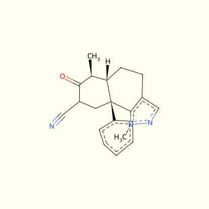 C[C@@H]1C(=O)C(C#N)C[C@@]2(c3ccccc3)c3c(cnn3C)CC[C@@H]12